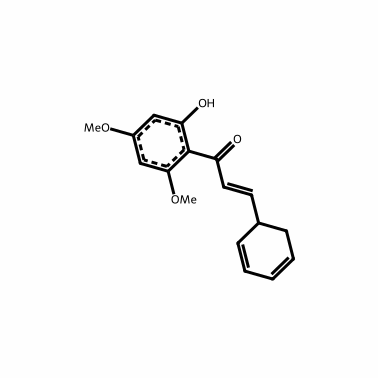 COc1cc(O)c(C(=O)C=CC2C=CC=CC2)c(OC)c1